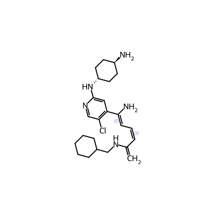 C=C(/C=C\C=C(/N)c1cc(N[C@H]2CC[C@H](N)CC2)ncc1Cl)NCC1CCCCC1